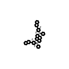 Fc1cc(N(c2ccccc2)c2ccc3ccc4c(N(c5ccccc5)c5cc(F)c(-c6ccc7ccccc7c6)cc5F)ccc5ccc2c3c54)c(F)cc1-c1ccc2ccccc2c1